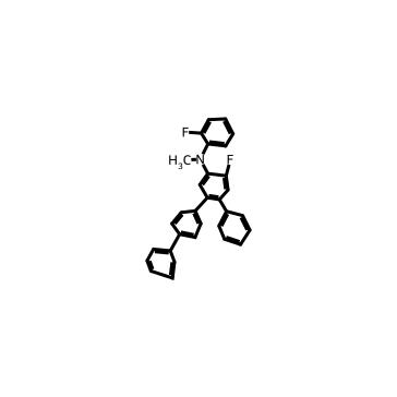 CN(c1ccccc1F)c1cc(-c2ccc(-c3ccccc3)cc2)c(-c2ccccc2)cc1F